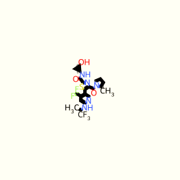 CC(Nc1cc(C(F)F)c(-c2sc(C(=O)N[C@H]3C[C@@H]3O)nc2C(=O)N2CCC[C@@H]2C)cn1)C(F)(F)F